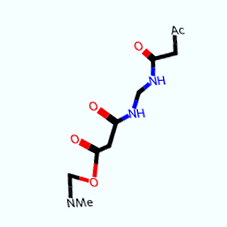 CNCOC(=O)CC(=O)NCNC(=O)CC(C)=O